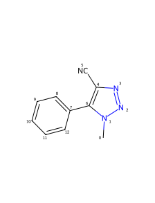 Cn1nnc(C#N)c1-c1ccccc1